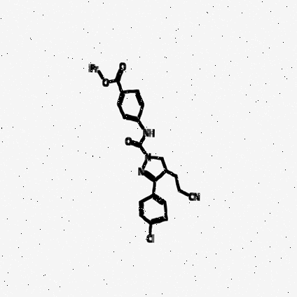 CC(C)OC(=O)c1ccc(NC(=O)N2CC(CCC#N)C(c3ccc(Cl)cc3)=N2)cc1